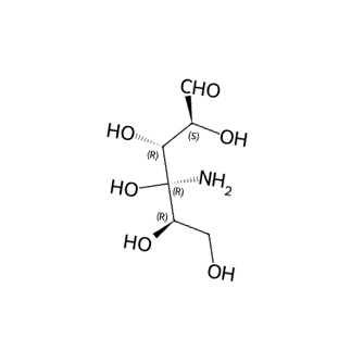 N[C@@](O)([C@H](O)CO)[C@H](O)[C@H](O)C=O